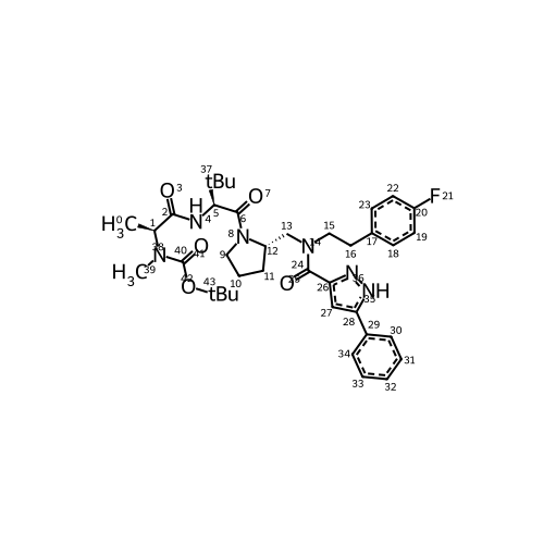 C[C@@H](C(=O)N[C@H](C(=O)N1CCC[C@H]1CN(CCc1ccc(F)cc1)C(=O)c1cc(-c2ccccc2)[nH]n1)C(C)(C)C)N(C)C(=O)OC(C)(C)C